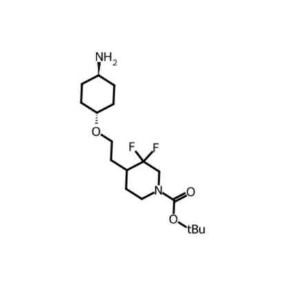 CC(C)(C)OC(=O)N1CCC(CCO[C@H]2CC[C@H](N)CC2)C(F)(F)C1